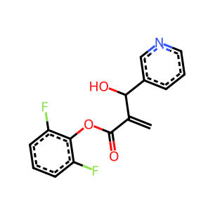 C=C(C(=O)Oc1c(F)cccc1F)C(O)c1cccnc1